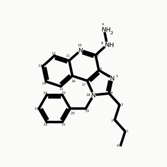 CCCCc1nc2c(NN)nc3ccccc3c2n1Cc1ccccc1